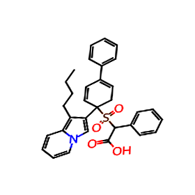 CCCCc1c(C2(S(=O)(=O)C(C(=O)O)c3ccccc3)C=CC(c3ccccc3)=CC2)cn2ccccc12